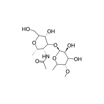 CO[C@@H]1C(C)O[C@@H](OC2[C@@H](O)C(CO)O[C@@H](C)[C@H]2NC(C)=O)[C@@H](O)C1O